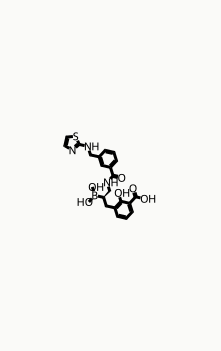 O=C(NC[C@@H](Cc1cccc(C(=O)O)c1O)B(O)O)c1cccc(CNc2nccs2)c1